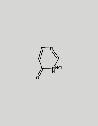 Cl.O=c1ccnc[nH]1